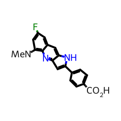 CNc1cc(F)cc2cc3[nH]c(-c4ccc(C(=O)O)cc4)cc3nc12